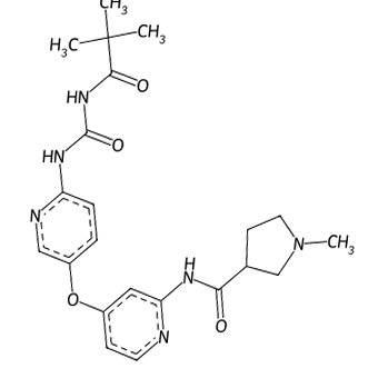 CN1CCC(C(=O)Nc2cc(Oc3ccc(NC(=O)NC(=O)C(C)(C)C)nc3)ccn2)C1